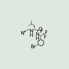 CC(C)C[C@H](NCC#N)C(=O)NC(c1cccc(Br)c1)C(F)(F)F